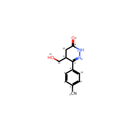 N#Cc1ccc(C2=NNC(=O)CC2CO)cc1